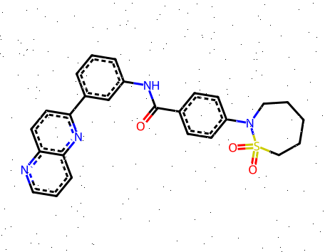 O=C(Nc1cccc(-c2ccc3ncccc3n2)c1)c1ccc(N2CCCCCS2(=O)=O)cc1